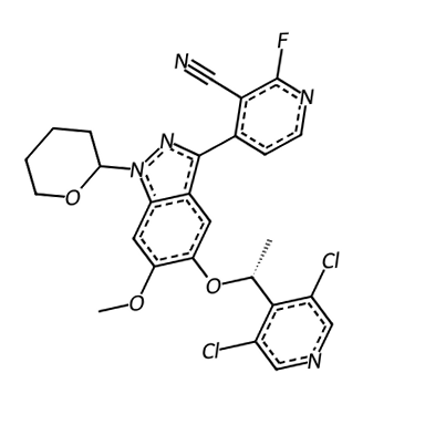 COc1cc2c(cc1O[C@H](C)c1c(Cl)cncc1Cl)c(-c1ccnc(F)c1C#N)nn2C1CCCCO1